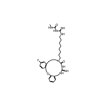 CNC(=O)NC(=N)NCCCCCCCCN1CCCc2cc(F)ccc2COc2ccccc2CNC(=N)NC1=O